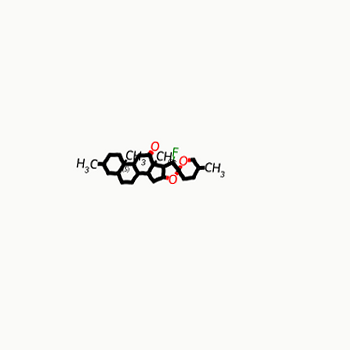 CC1CCC2(OC1)OC1CC3C4CCC5CC(C)CC[C@]5(C)C4CC(=O)[C@]3(C)C1[C@@H]2F